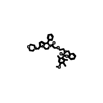 COc1cc(C)c(S(=O)(=O)N(CCOCC(=O)N2CCn3c(CN4CCOCC4)ccc3C2c2ccccc2)Cc2ccccc2)c(C)c1C